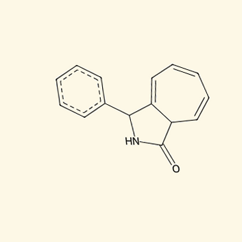 O=C1NC(c2ccccc2)C2=CC=CC=CC12